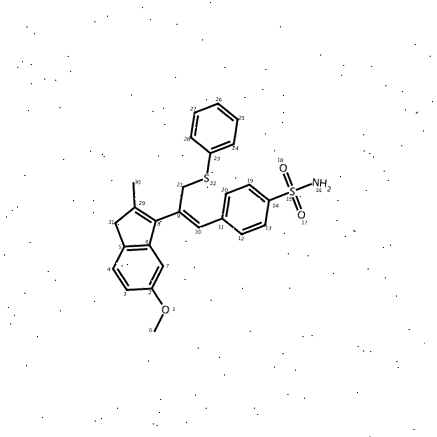 COc1ccc2c(c1)C(C(=Cc1ccc(S(N)(=O)=O)cc1)CSc1ccccc1)=C(C)C2